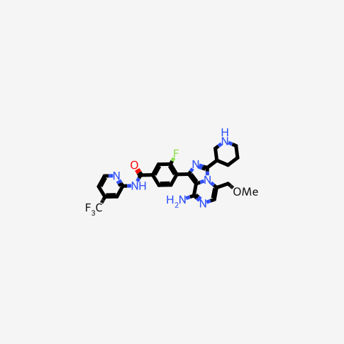 COCc1cnc(N)c2c(-c3ccc(C(=O)Nc4cc(C(F)(F)F)ccn4)cc3F)nc(C3CCCNC3)n12